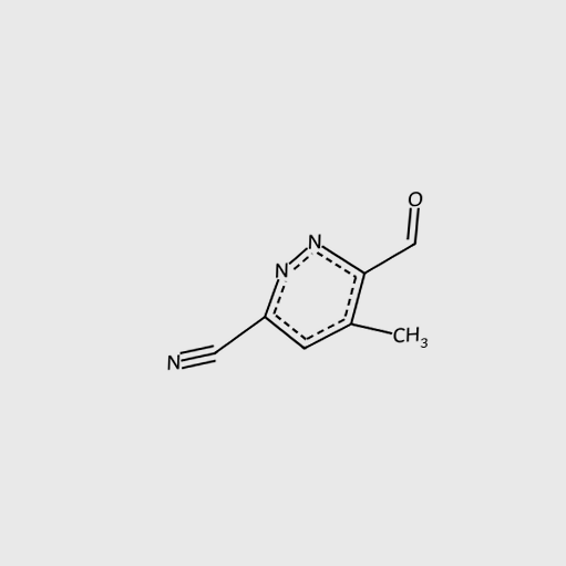 Cc1cc(C#N)nnc1C=O